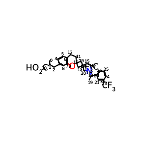 CC(Cc1ccc2c(c1)OC1(CC2)CC2(CCN(C(C)c3cc(C(F)(F)F)ccc3C(F)(F)F)C2)C1)C(=O)O